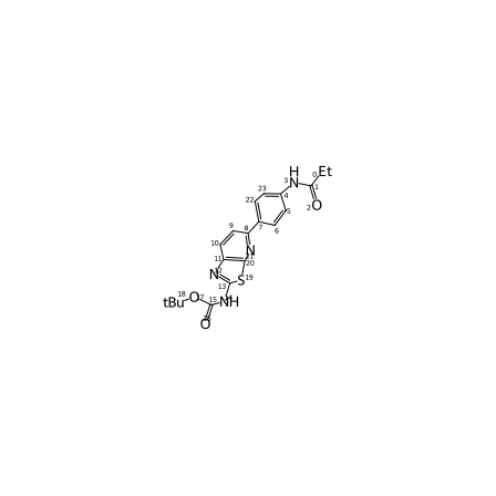 CCC(=O)Nc1ccc(-c2ccc3nc(NC(=O)OC(C)(C)C)sc3n2)cc1